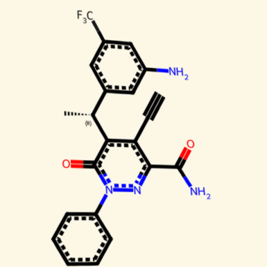 C#Cc1c(C(N)=O)nn(-c2ccccc2)c(=O)c1[C@H](C)c1cc(N)cc(C(F)(F)F)c1